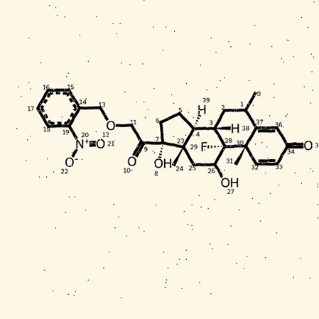 CC1C[C@H]2[C@@H]3CC[C@](O)(C(=O)COCc4ccccc4[N+](=O)[O-])[C@@]3(C)CC(O)[C@]2(F)[C@@]2(C)C=CC(=O)C=C12